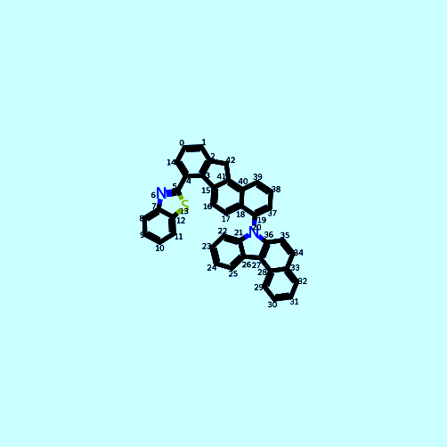 c1cc2c(c(-c3nc4ccccc4s3)c1)-c1ccc3c(-n4c5ccccc5c5c6ccccc6ccc54)cccc3c1C2